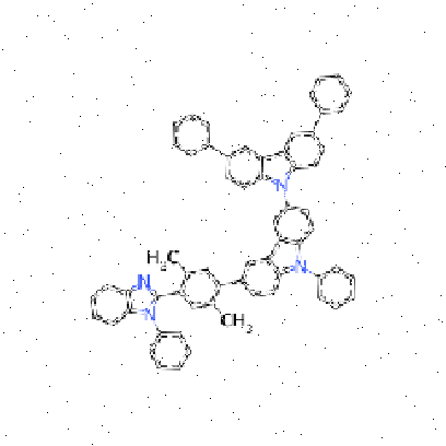 Cc1cc(-c2nc3ccccc3n2-c2ccccc2)c(C)cc1-c1ccc2c(c1)c1cc(-n3c4ccc(-c5ccccc5)cc4c4cc(-c5ccccc5)ccc43)ccc1n2-c1ccccc1